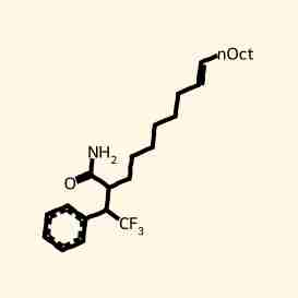 CCCCCCCCC=CCCCCCCC(C(N)=O)C(c1ccccc1)C(F)(F)F